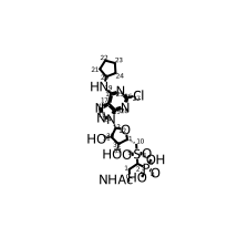 CC(=O)NCC(P(=O)(O)O)S(=O)(=O)C[C@H]1O[C@@H](n2nnc3c(NC4CCCC4)nc(Cl)nc32)[C@H](O)[C@@H]1O